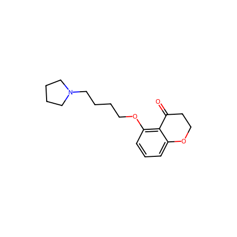 O=C1CCOc2cccc(OCCCCN3CCCC3)c21